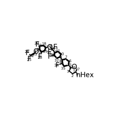 CCCCCCC1CCC(c2ccc(-c3ccc(C(F)(F)Oc4cc(F)c(OC=C(F)F)c(F)c4)c(F)c3)c(F)c2)OC1